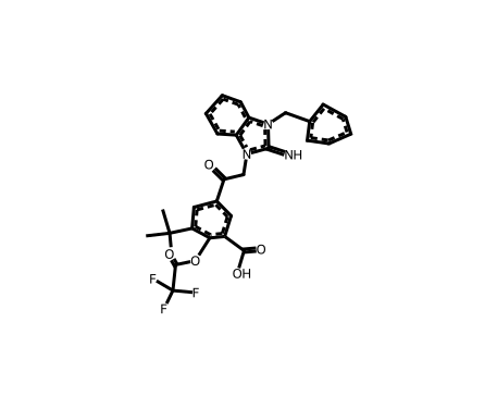 CC(C)(C)c1cc(C(=O)Cn2c(=N)n(Cc3ccccc3)c3ccccc32)cc(C(=O)O)c1OC(=O)C(F)(F)F